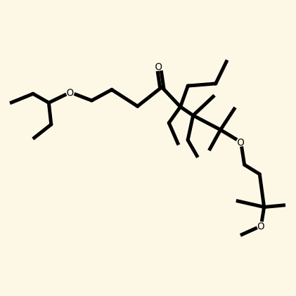 CCCC(CC)(C(=O)CCCOC(CC)CC)C(C)(CC)C(C)(C)OCCC(C)(C)OC